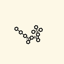 c1ccc(-c2ccc(-c3ccc(-n4c5ccccc5c5cc(-n6c7ccccc7c7ccc([Si](c8ccccc8)(c8ccccc8)c8ccccc8)cc76)ccc54)cc3)cc2)cc1